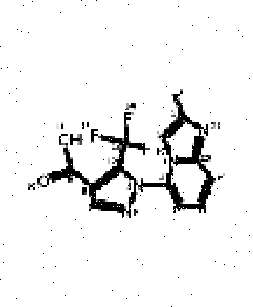 Cc1cn2c(-n3ncc(C(=O)O)c3C(F)(F)F)cccc2n1